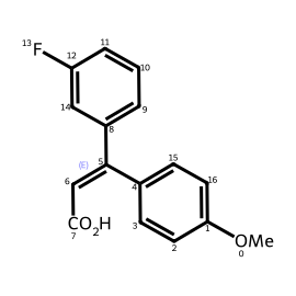 COc1ccc(/C(=C\C(=O)O)c2cccc(F)c2)cc1